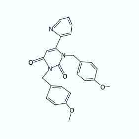 COc1ccc(Cn2c(-c3ccccn3)cc(=O)n(Cc3ccc(OC)cc3)c2=O)cc1